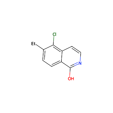 CCc1ccc2c(O)nccc2c1Cl